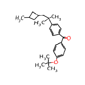 CC1CC(CC(C)(C)c2ccc(C(=O)c3ccc(OC(C)(C)C)cc3)cc2)C1